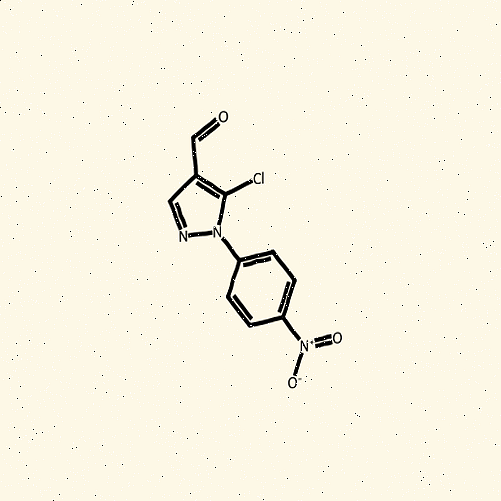 O=Cc1cnn(-c2ccc([N+](=O)[O-])cc2)c1Cl